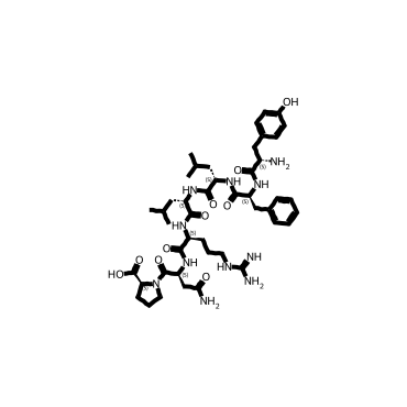 CC(C)C[C@H](NC(=O)[C@H](CC(C)C)NC(=O)[C@H](Cc1ccccc1)NC(=O)[C@@H](N)Cc1ccc(O)cc1)C(=O)N[C@@H](CCCNC(=N)N)C(=O)N[C@@H](CC(N)=O)C(=O)N1CCC[C@H]1C(=O)O